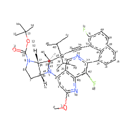 COc1cc(N2[C@@H]3CCN(C(=O)OC(C)(C)C)[C@@H]3[C@@H]2C)c2cnc(-c3cccc4ccc(F)c(C#C[Si](C(C)C)(C(C)C)C(C)C)c34)c(F)c2n1